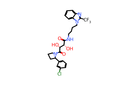 O=C(NCCCCn1c(C(F)(F)F)nc2ccccc21)[C@H](O)[C@@H](O)C(=O)N1CCCC1c1cccc(Cl)c1